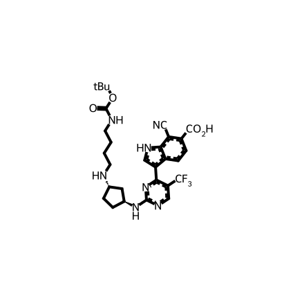 CC(C)(C)OC(=O)NCCCCN[C@H]1CC[C@H](Nc2ncc(C(F)(F)F)c(-c3c[nH]c4c(C#N)c(C(=O)O)ccc34)n2)C1